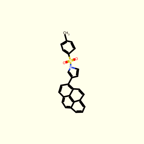 Cc1ccc(S(=O)(=O)n2ccc(-c3ccc4ccc5cccc6ccc3c4c56)c2)cc1